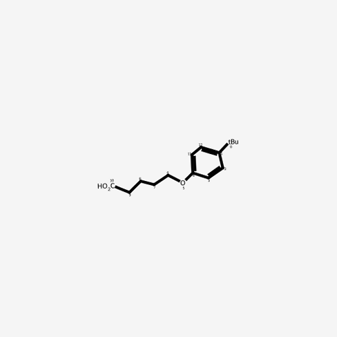 CC(C)(C)c1ccc(OCCCCC(=O)O)cc1